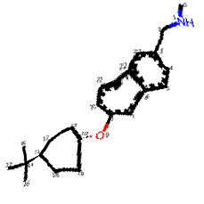 CNCc1ccc2cc(O[C@H]3CC[C@H](C(C)(C)C)CC3)ccc2c1